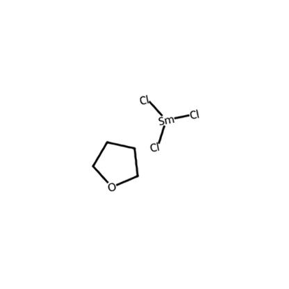 C1CCOC1.[Cl][Sm]([Cl])[Cl]